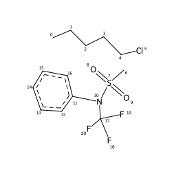 CCCCCCl.CS(=O)(=O)N(c1ccccc1)C(F)(F)F